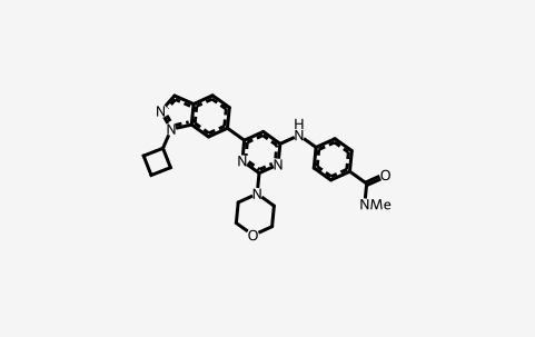 CNC(=O)c1ccc(Nc2cc(-c3ccc4cnn(C5CCC5)c4c3)nc(N3CCOCC3)n2)cc1